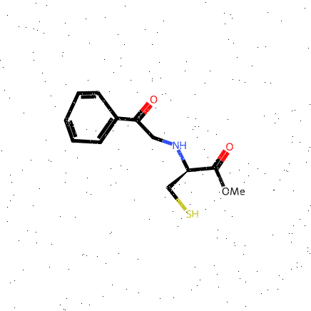 COC(=O)[C@@H](CS)NCC(=O)c1ccccc1